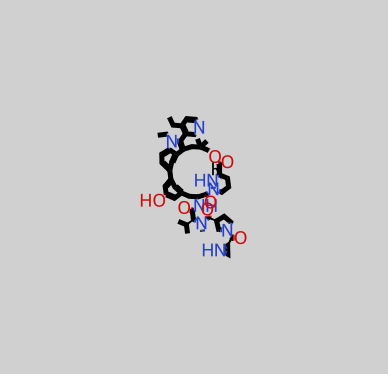 CCc1ccncc1-c1c2c3cc(ccc3n1CC)-c1cc(O)cc(c1)C[C@H](NC(=O)[C@H](C(C)C)N(C)C(=O)[C@H]1CCN(C(=O)[C@H]3CN3)C1)C(=O)N1CCC[C@H](N1)C(=O)OCC(C)(C)C2